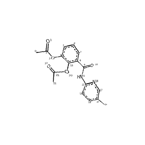 CC(=O)Oc1cccc(C(=O)Nc2ccc(C)cn2)c1OC(C)=O